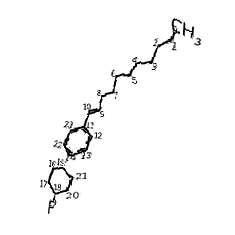 CCCCCCCCCC=Cc1ccc([C@H]2CC[C@H](F)CC2)cc1